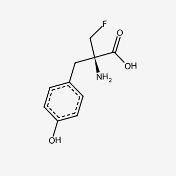 N[C@](CF)(Cc1ccc(O)cc1)C(=O)O